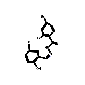 O=C(N/N=C\c1cc(F)ccc1O)c1ccc(Br)cc1Br